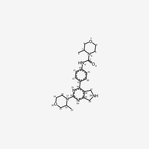 CC1COCCN1C(=O)Nc1ccc(-c2nc(N3CCOCC3C)nc3c2CNC3)cc1